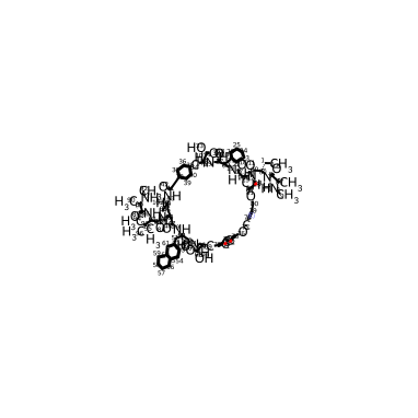 CC[C@H](NC(=O)[C@H](C)NC)C(=O)N1C[C@@H]2C[C@H]1C(=O)N[C@@H](c1ccccc1)C(=O)N[C@H](C(=O)O)Cc1ccc(cc1)C(=O)N[C@H]1C[C@@H](C(=O)N[C@@H](Cc3ccc4ccccc4c3)C(=O)N[C@H](C(=O)O)Cc3ccc(cc3)OC/C=C/CO2)N(C(=O)[C@@H](NC(=O)[C@H](C)NC)C(C)(C)C)C1